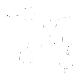 COc1cccc(Cn2c(C)c(C)c3cc(C(=O)N4CCNCC4)nc(N4CCc5ccccc5C4)c32)c1.Cl